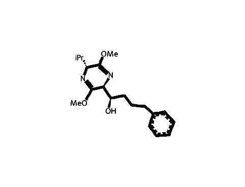 COC1=N[C@H](C(C)C)C(OC)=N[C@H]1[C@H](O)CCCc1ccccc1